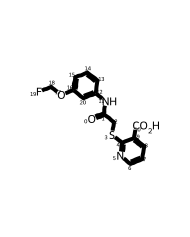 O=C(CSc1ncccc1C(=O)O)Nc1cccc(OCF)c1